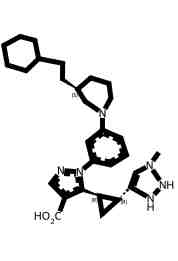 CN1C=C([C@@H]2C[C@H]2c2c(C(=O)O)cnn2-c2cccc(N3CCC[C@H](CCC4CCCCC4)C3)c2)NN1